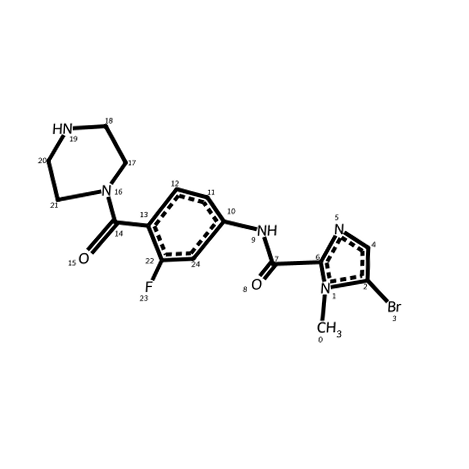 Cn1c(Br)cnc1C(=O)Nc1ccc(C(=O)N2CCNCC2)c(F)c1